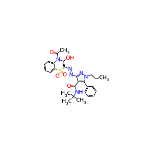 CCCn1nc(N=NC2=C(O)N(C(C)=O)c3ccccc3S2(=O)=O)c(C(=O)NC(C)(C)C)c1-c1ccccc1